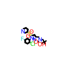 CC(C)(C)CN(Cc1cc(S(=O)(=O)c2cccnc2)n(-c2cc(F)ccc2Cl)n1)C(=O)O